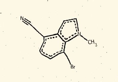 Cn1ccc2c(C#N)ccc(Br)c21